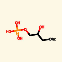 CC(=O)OCC(O)CO[PH](O)(O)O